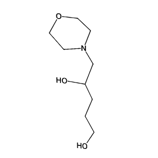 OCCCC(O)CN1CCOCC1